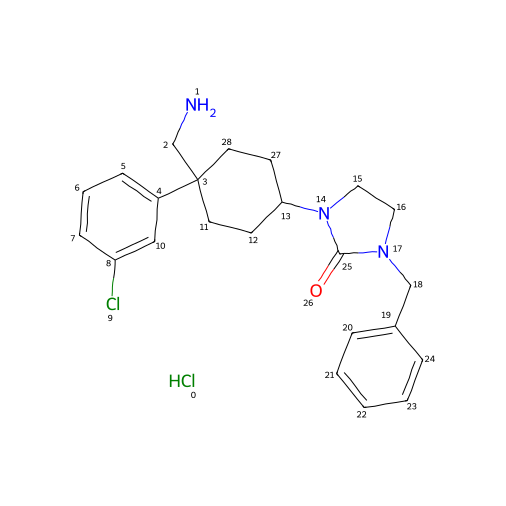 Cl.NCC1(c2cccc(Cl)c2)CCC(N2CCN(Cc3ccccc3)C2=O)CC1